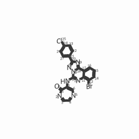 O=c1nccncc1Nc1nc2c(Br)cccc2c2nc(-c3ccc(Cl)cc3)nn12